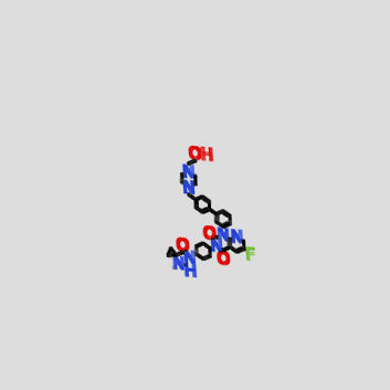 CN(C)C1(C(=O)N[C@H]2CC[C@@H](n3c(=O)c4cc(F)cnc4n(-c4cccc(-c5ccc(CN6CCN(CCO)CC6)cc5)c4)c3=O)CC2)CC1